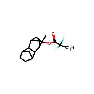 CC1(OC(=O)C(F)(F)S(=O)(=O)O)CC2CC1C1C3CCC(C3)C21